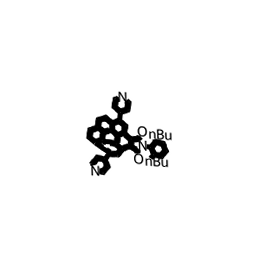 CCCCc1cccc(CCCC)c1-n1c(=O)c2c3cc(-c4ccncc4)c4ccc5ccc6c(-c7ccncc7)cc(c2c1=O)c1c6c5c4c31